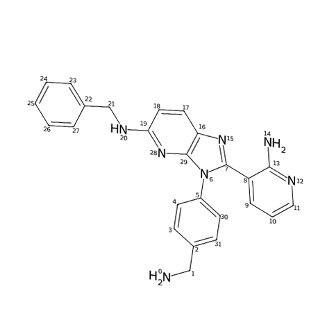 NCc1ccc(-n2c(-c3cccnc3N)nc3ccc(NCc4ccccc4)nc32)cc1